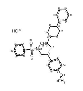 COc1ccc([C@@H](CCN2CCC(c3ccccc3)CC2)CN(C)S(=O)(=O)c2ccccc2)cc1.Cl